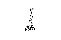 C=CCOCCOCCOCCOC[C@]12CO[C@H](C[C@@H](O)[C@H]1O)O2